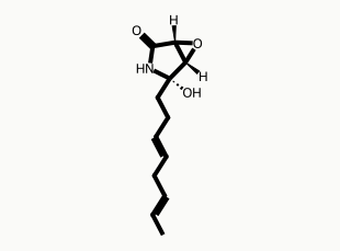 C/C=C/C/C=C/CC[C@@]1(O)NC(=O)[C@@H]2O[C@@H]21